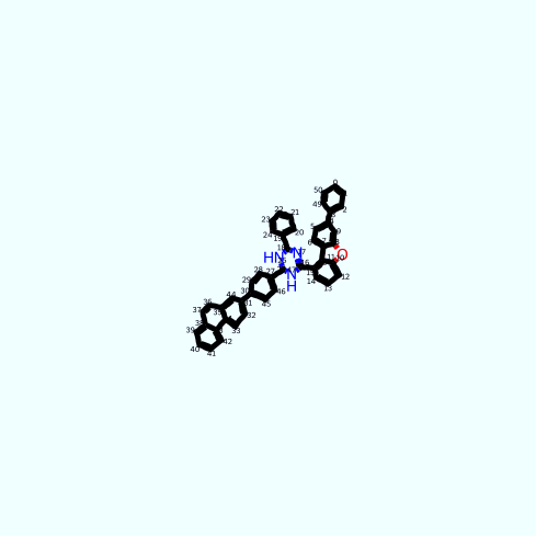 c1ccc(-c2ccc3c(c2)oc2cccc(C4=NC(c5ccccc5)NC(c5ccc(-c6ccc7c(ccc8ccccc87)c6)cc5)N4)c23)cc1